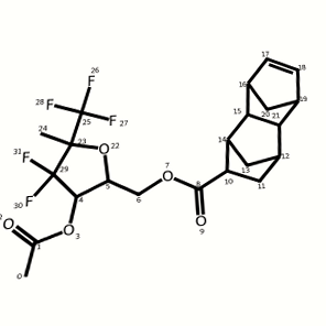 CC(=O)OC1C(COC(=O)C2CC3CC2C2C4C=CC(C4)C32)OC(C)(C(F)(F)F)C1(F)F